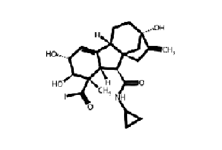 C=C1C[C@]23C[C@@]1(O)CC[C@H]2C1=C[C@@H](O)[C@H](O)[C@@](C)(C(=O)I)[C@H]1[C@@H]3C(=O)NC1CC1